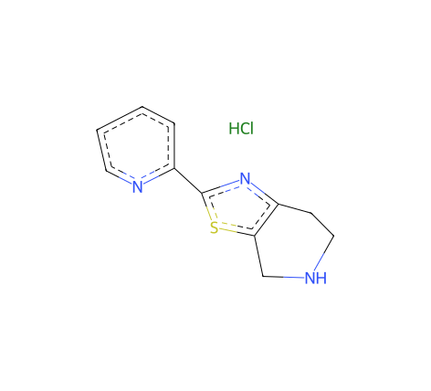 Cl.c1ccc(-c2nc3c(s2)CNCC3)nc1